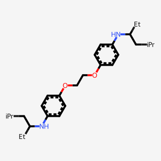 CCC(CC(C)C)Nc1ccc(OCCOc2ccc(NC(CC)CC(C)C)cc2)cc1